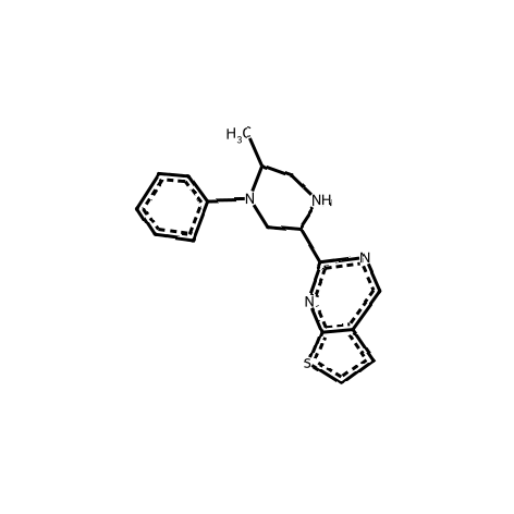 CC1CNC(c2ncc3ccsc3n2)CN1c1ccccc1